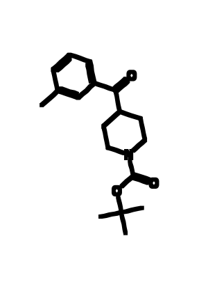 Cc1cccc(C(=O)C2CCN(C(=O)OC(C)(C)C)CC2)c1